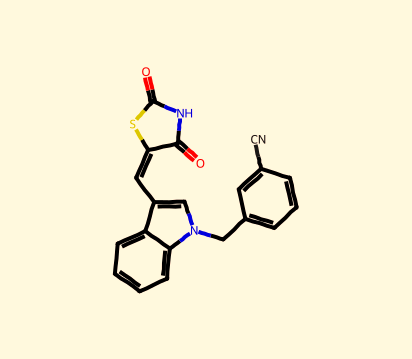 N#Cc1cccc(Cn2cc(C=C3SC(=O)NC3=O)c3ccccc32)c1